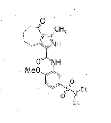 CCN(CC)S(=O)(=O)c1ccc(OC)c(NC(=O)c2[nH]c(C)c3c2CCCCC3=O)c1